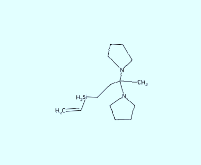 C=C[SiH2]CCC(C)(N1CCCC1)N1CCCC1